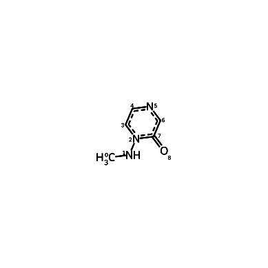 CNn1ccncc1=O